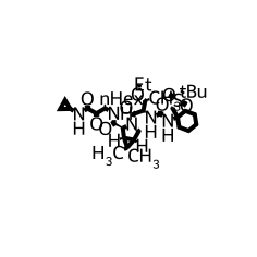 CCCCCC[C@H](NC(=O)[C@@H]1[C@@H]2[C@H](CN1C(=O)[C@@H](NC(=O)NC1(CS(=O)(=O)C(C)(C)C)CCCCC1)[C@H](C)OCC)C2(C)C)C(=O)C(=O)NC1CC1